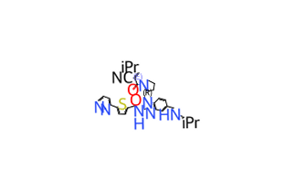 CC(C)/C=C(\C#N)C(=O)N1CCC[C@@H]1Cn1c(NC(=O)c2ccc(-c3cccnn3)s2)nc2cc(CNCC(C)C)ccc21